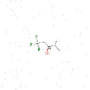 CC(C)[C@@H](O)CC(F)(F)F